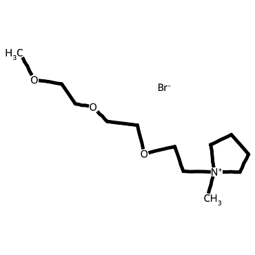 COCCOCCOCC[N+]1(C)CCCC1.[Br-]